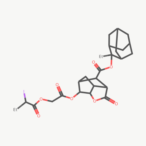 CCC(I)C(=O)OCC(=O)OC1C2CC3C1OC(=O)C3C2C(=O)OC1(CC)C2CC3CC(C2)CC1C3